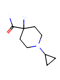 NC(=O)C1(N)CCN(C2CC2)CC1